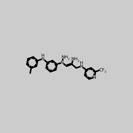 Cc1cccc(Nc2cccc(N(N)/C=C(\N)CNc3ccnc(C(F)(F)F)c3)c2)c1